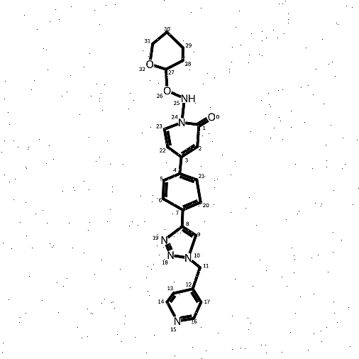 O=c1cc(-c2ccc(-c3cn(Cc4ccncc4)nn3)cc2)ccn1NOC1CCCCO1